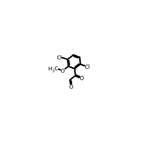 COc1c(Cl)ccc(Cl)c1C(=O)C=O